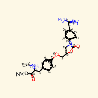 CCNC(Cc1ccc(OCC2CN(c3ccc(C(=N)N)cc3)C(=O)O2)cc1)C(=O)OC